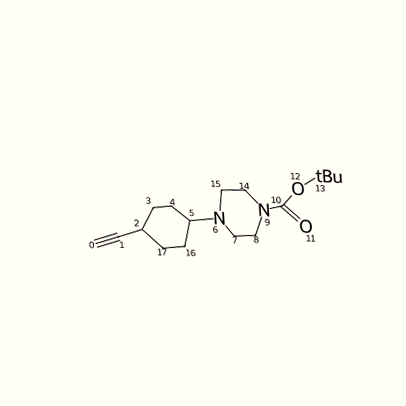 C#CC1CCC(N2CCN(C(=O)OC(C)(C)C)CC2)CC1